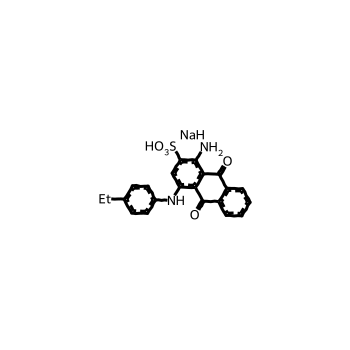 CCc1ccc(Nc2cc(S(=O)(=O)O)c(N)c3c2C(=O)c2ccccc2C3=O)cc1.[NaH]